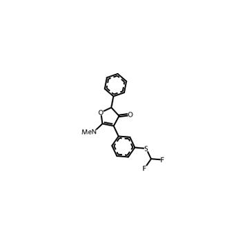 CNC1=C(c2cccc(SC(F)F)c2)C(=O)C(c2ccccc2)O1